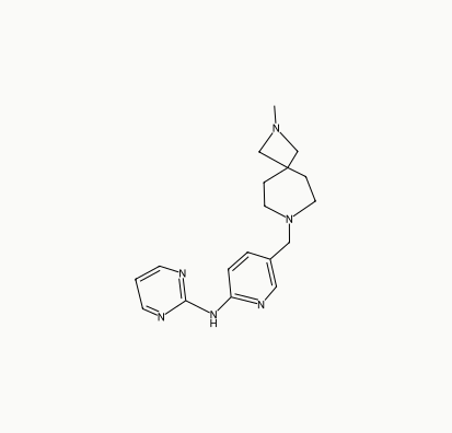 CN1CC2(CCN(Cc3ccc(Nc4ncccn4)nc3)CC2)C1